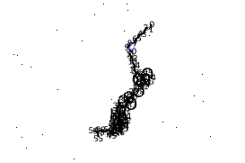 CCCCCCCC/C=C\CCCCCCCCOCC(CN1CCOCC1)OCCOC(=O)O[C@H]1CC[C@@]2(C)C(=CC[C@H]3[C@@H]4CC[C@H]([C@H](C)CCCC(C)C)[C@@]4(C)CC[C@@H]32)C1